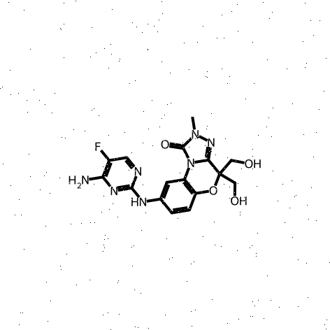 Cn1nc2n(c1=O)-c1cc(Nc3ncc(F)c(N)n3)ccc1OC2(CO)CO